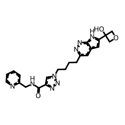 O=C(NCc1ccccn1)c1cn(CCCCc2cc3cc(C4(O)COC4)[nH]c3nn2)nn1